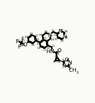 Cc1noc([C@H]2CC2C(=O)NCc2ccc(-c3cccc(OC(F)(F)F)c3)c3c2CN(Cc2ccncn2)CC3)n1